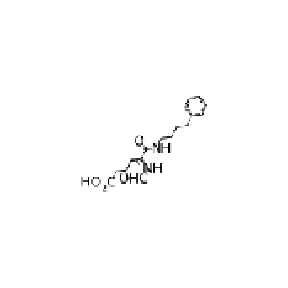 O=CN[C@@H](CCCC(=O)O)C(=O)NCCCCc1ccccc1